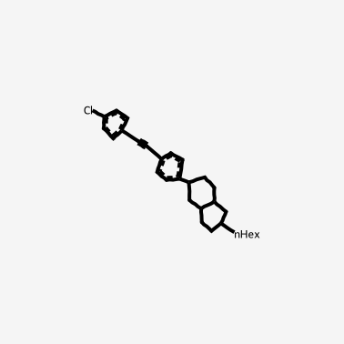 CCCCCCC1CCC2CC(c3ccc(C#Cc4ccc(Cl)cc4)cc3)CCC2C1